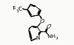 NC(=O)c1ncccc1Oc1cccc(C(F)(F)F)c1